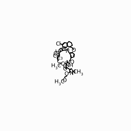 COCCOc1nn(C)cc1C(=O)N[S@@]1(=O)=NC(=O)c2ccc3c(c2)N(C[C@@H]2CC[C@H]2[C@@H](OC)/C=C/C[C@H](C)C1)C[C@@]1(CCCc2cc(Cl)ccc21)CO3